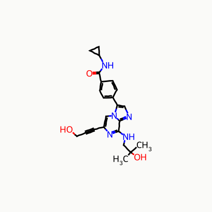 CC(C)(O)CNc1nc(C#CCO)cn2c(-c3ccc(C(=O)NC4CC4)cc3)cnc12